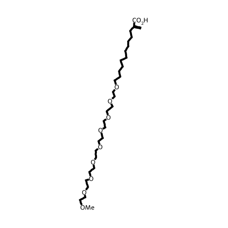 C=C(CCCCCCCCCCCOCCOCCOCCOCCOCCOCCOCCOCCOC)C(=O)O